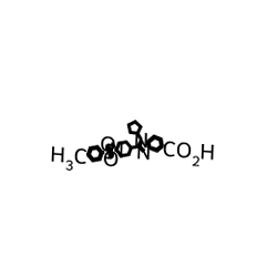 Cc1ccc(S(=O)(=O)N2CCC(c3nc4cc(C(=O)O)ccc4n3C3CCCC3)CC2)cc1